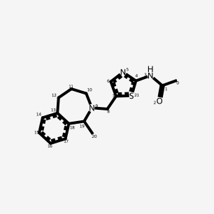 CC(=O)Nc1ncc(CN2CCCc3ccccc3C2C)s1